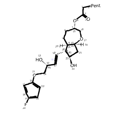 CCCC(C)CC(=O)O[C@H]1CC[C@@H]2[C@@H](/C=C/[C@@H](O)COc3ccc(F)cc3)[C@H](O)C[C@@H]2OC1